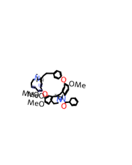 COC1=C2/C=C/[C@H](CCc3ccc(cc3)Oc3cc4c(cc3OC)N(C(=O)C3C=CC=CC3)N3CCc5cc(OC)c(OC)c(c5[C@@H]3C4)O2)N(C)CC\C=C\1